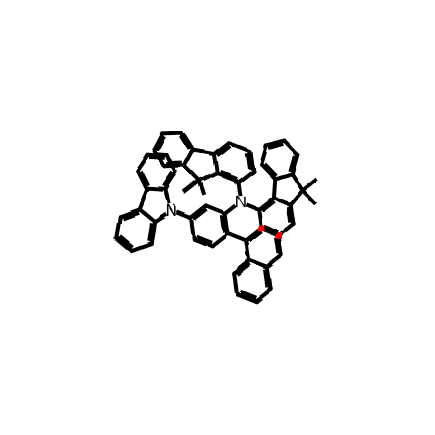 CC1(C)c2ccccc2-c2c(N(c3cc(-n4c5ccccc5c5ccccc54)ccc3-c3cccc4ccccc34)c3cccc4c3C(C)(C)c3ccccc3-4)cccc21